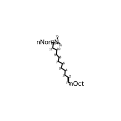 CCCCCCCCC=CCCCCCCCCCC(CCCCCCCCC)N(C)C